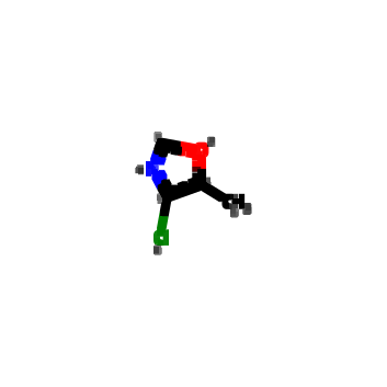 Cc1ocnc1Cl